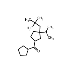 CN(C)C1(CC(C)(C)C)CCC(C(=O)N2CCCC2)C1